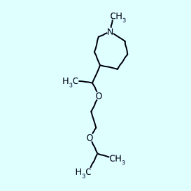 CC(C)OCCOC(C)C1CCCN(C)CC1